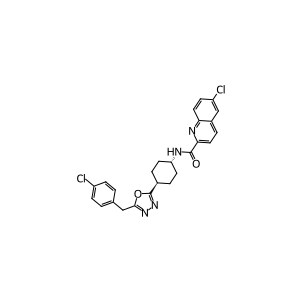 O=C(N[C@H]1CC[C@H](c2nnc(Cc3ccc(Cl)cc3)o2)CC1)c1ccc2cc(Cl)ccc2n1